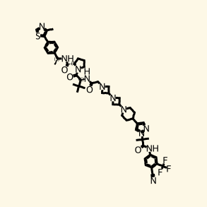 Cc1ncsc1-c1ccc([C@H](C)NC(=O)[C@@H]2CCCN2C(=O)[C@@H](NC(=O)CN2CC(N3CC(N4CCC(c5cnn(C(C)(C)C(=O)Nc6ccc(C#N)c(C(F)(F)F)c6)c5)CC4)C3)C2)C(C)(C)C)cc1